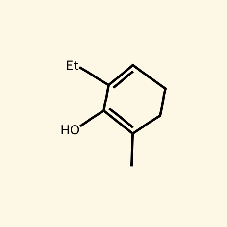 CCC1=CCCC(C)=C1O